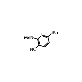 CNc1nc(C(C)(C)C)ccc1C#N